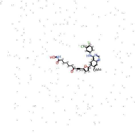 COc1cc2ncnc(Nc3ccc(F)c(Cl)c3)c2cc1-c1ccc(C#CC(=O)CCCCCC(=O)NO)o1